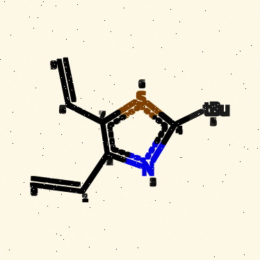 C=Cc1nc(C(C)(C)C)sc1C=C